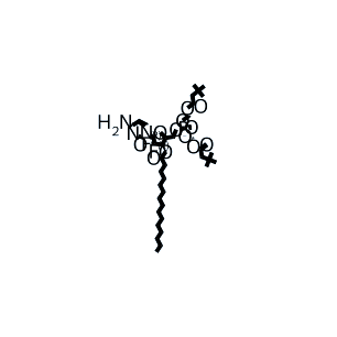 CCCCCCCCCCCCCCC(=O)O[C@@H]1C(COP(=O)(OCOC(=O)CC(C)(C)C)OCOC(=O)CC(C)(C)C)O[C@@H](n2ccc(N)nc2=O)C1(F)F